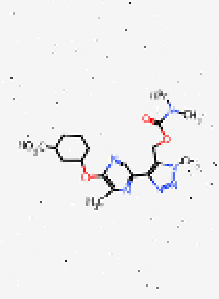 CCCN(C)C(=O)OCc1c(-c2cnc(OC3CCCC(C(=O)O)C3)c(C)n2)nnn1C